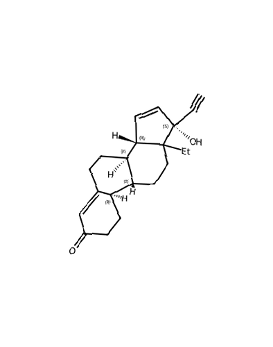 C#C[C@]1(O)C=C[C@H]2[C@@H]3CCC4=CC(=O)CC[C@@H]4[C@H]3CCC21CC